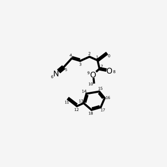 C=C(CC=CC#N)C(=O)OC.C=Cc1ccccc1